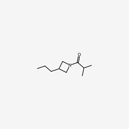 CCCC1CN(C(=O)C(C)C)C1